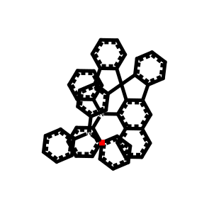 c1ccc(N(c2ccccc2)c2ccc3c(c2)C2(c4ccccc4-3)c3ccccc3-c3cc4ccccc4c(N(c4ccccc4)c4ccccc4)c32)cc1